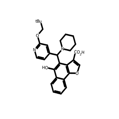 CC(C)(C)COc1cc(C(c2c(O)c3ccccc3c3occ(C(=O)O)c23)N2CCCCC2)ccn1